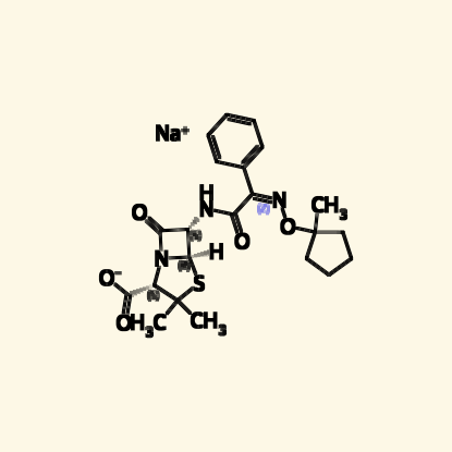 CC1(O/N=C(\C(=O)N[C@H]2C(=O)N3[C@@H]2SC(C)(C)[C@@H]3C(=O)[O-])c2ccccc2)CCCC1.[Na+]